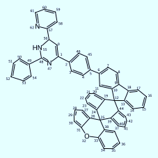 C1=C(c2ccc(-c3ccc4c(c3)C3(c5ccccc5-4)c4ccccc4C4(c5ccccc5Oc5ccccc54)c4ccccc43)cc2)N=C(c2ccccc2)NC1c1ccccn1